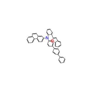 c1ccc(-c2ccc(-c3ccc(N(c4ccc5c(ccc6ccccc65)c4)c4ccccc4-c4cc5ccccc5o4)cc3)cc2)cc1